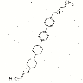 C=CCOCc1ccc(-c2ccc([C@H]3CC[C@H]([C@H]4CC[C@H](CC=CC)CC4)CC3)cc2)cc1